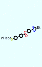 CCCCCCCSc1ccc(-c2ccc(C(=O)Oc3ccc(-c4ncc(CC)cn4)cc3)cc2)cc1